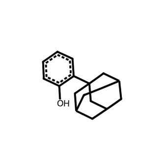 Oc1ccccc1C12CC3CC(CC(C3)C1)C2